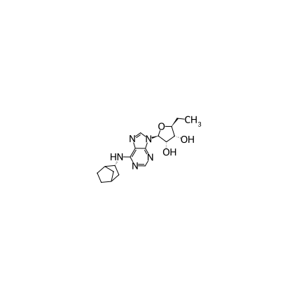 CC[C@@H]1O[C@H](n2cnc3c(N[C@@H]4CC5CCC4C5)ncnc32)[C@@H](O)[C@H]1O